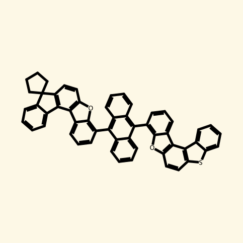 c1ccc2c(c1)-c1c(ccc3oc4c(-c5c6ccccc6c(-c6cccc7c6oc6ccc8sc9ccccc9c8c67)c6ccccc56)cccc4c13)C21CCCC1